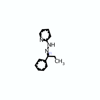 CC/C(=N\Nc1ccccn1)c1ccccc1